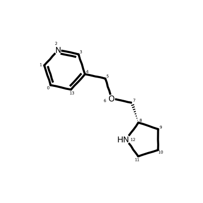 c1cncc(COC[C@@H]2CCCN2)c1